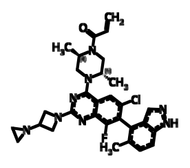 C=CC(=O)N1C[C@H](C)N(c2nc(N3CC(N4CC4)C3)nc3c(F)c(-c4c(C)ccc5[nH]ncc45)c(Cl)cc23)C[C@H]1C